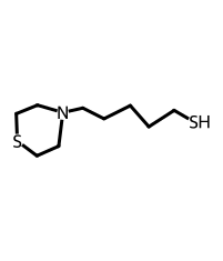 SCCCCCN1CCSCC1